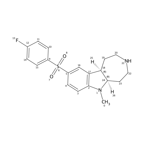 CN1c2ccc(S(=O)(=O)c3ccc(F)cc3)cc2[C@H]2CCNCC[C@H]21